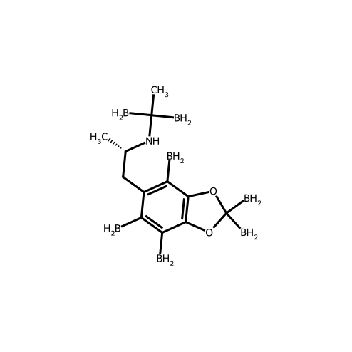 Bc1c(B)c2c(c(B)c1C[C@H](C)NC(B)(B)C)OC(B)(B)O2